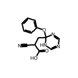 N#CC(CC1(Oc2ccccc2)N=CN=CN1)C(=O)O